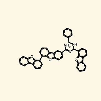 N/C(=N\C(NCc1ccccc1)c1cccc2c1sc1ccccc12)c1ccc2oc3c(-c4cccc5c4oc4ccccc45)cccc3c2c1